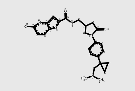 CN(C)CC1(c2ccc(N3CC(CNC(=O)c4cc5nc(Cl)ccc5s4)CC3=O)cc2)CC1